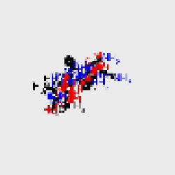 CC[C@H](C)[C@H](NC(=O)[C@H](CC(=O)O)NC(=O)[C@@H](NC(=O)[C@H](C)NC(=O)[C@H](CCC(=O)O)NC(=O)[C@H](Cc1c[nH]c2ccccc12)NC(=O)[C@H](C)NC(=O)[C@H](CC(=O)O)NC(=O)[C@H](CCC(N)=O)NC(=O)[C@H](CCCCN)NC(=O)[C@@H](N)Cc1ccccc1)C(C)C)C(=O)N[C@@H](CCCNC(=N)N)C(=O)O